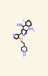 N=C(c1cc(-c2cnccc2OCCC2CCNCC2)ncc1N)c1ccccc1F